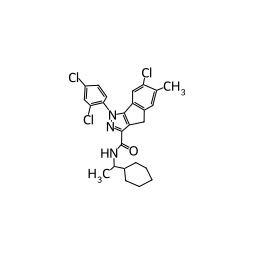 Cc1cc2c(cc1Cl)-c1c(c(C(=O)NC(C)C3CCCCC3)nn1-c1ccc(Cl)cc1Cl)C2